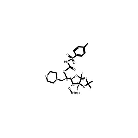 CCCCCCCO[C@H]1[C@H]2OC(C)(C)O[C@H]2O[C@@H]1[C@@H](CN1CCOCC1)OC(=O)NS(=O)(=O)c1ccc(C)cc1